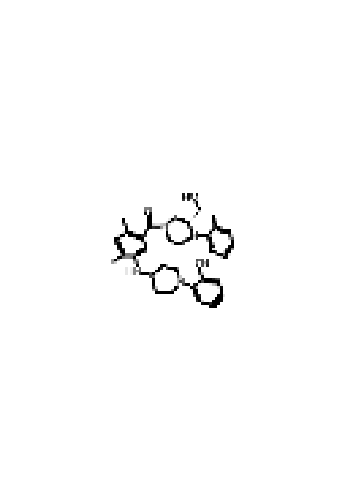 Cc1cc(C)c(C(=O)N2CCN(c3ccccc3C)[C@@H](CO)C2)cc1NC1CCN(c2cc#ccc2C#N)CC1